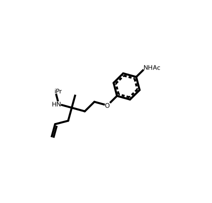 C=CCC(C)(CCOc1ccc(NC(C)=O)cc1)NC(C)C